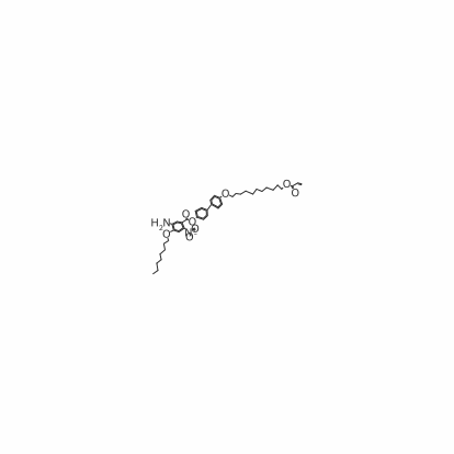 C=CC(=O)OCCCCCCCCCCCOc1ccc(-c2ccc(OC(=O)c3cc(N)c(OCCCCCCCC)cc3[N+](=O)[O-])cc2)cc1